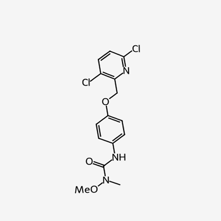 CON(C)C(=O)Nc1ccc(OCc2nc(Cl)ccc2Cl)cc1